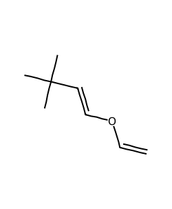 C=CO/C=C/C(C)(C)C